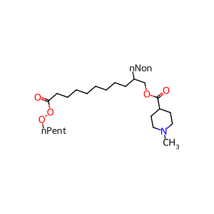 CCCCCCCCCC(CCCCCCCCC(=O)OOCCCCC)COC(=O)C1CCN(C)CC1